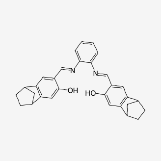 Oc1cc2c(cc1/C=N/c1ccccc1/N=C/c1cc3c(cc1O)C1CCC3C1)C1CCC2C1